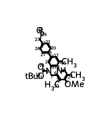 COc1c(C)cnc(CN(C(=O)OC(C)(C)C)c2cc(C)cc(-c3ccc(CP=O)cc3)c2)c1C